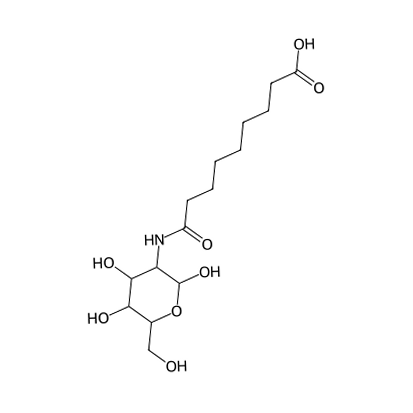 O=C(O)CCCCCCCC(=O)NC1C(O)OC(CO)C(O)C1O